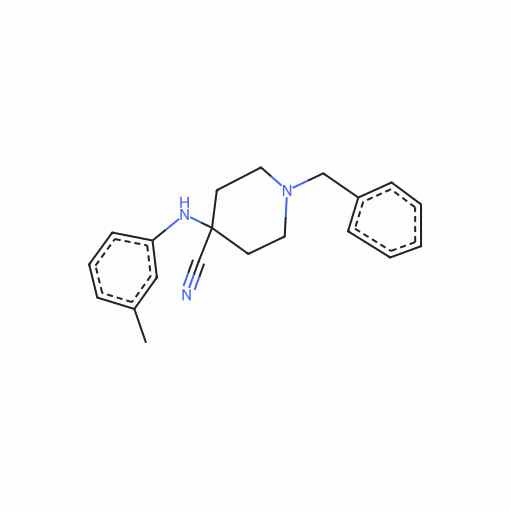 Cc1cccc(NC2(C#N)CCN(Cc3ccccc3)CC2)c1